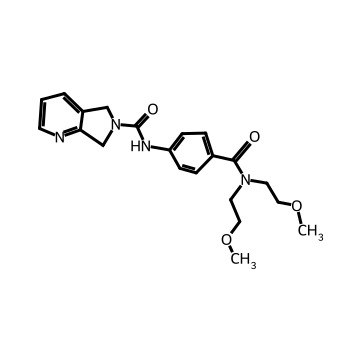 COCCN(CCOC)C(=O)c1ccc(NC(=O)N2Cc3cccnc3C2)cc1